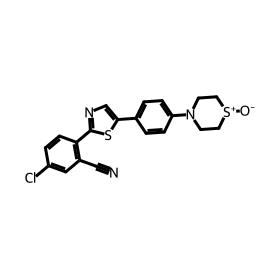 N#Cc1cc(Cl)ccc1-c1ncc(-c2ccc(N3CC[S+]([O-])CC3)cc2)s1